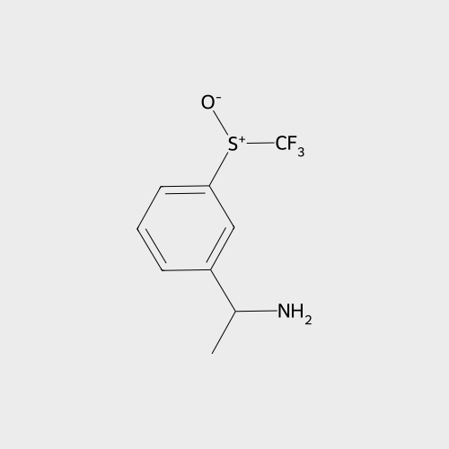 CC(N)c1cccc([S+]([O-])C(F)(F)F)c1